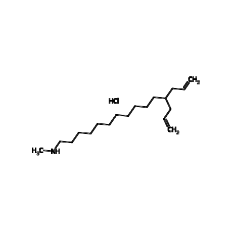 C=CCC(CC=C)CCCCCCCCCCCNC.Cl